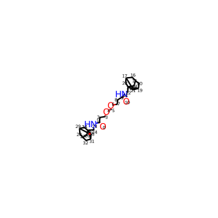 O=C(CCOCOCCC(=O)NCC12CC3CC(CC(C3)C1)C2)NCC12CC3CC(CC(C3)C1)C2